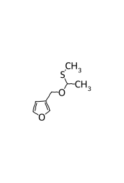 CSC(C)OCc1ccoc1